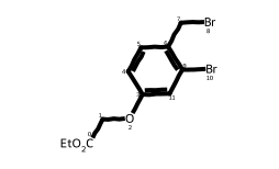 CCOC(=O)COc1ccc(CBr)c(Br)c1